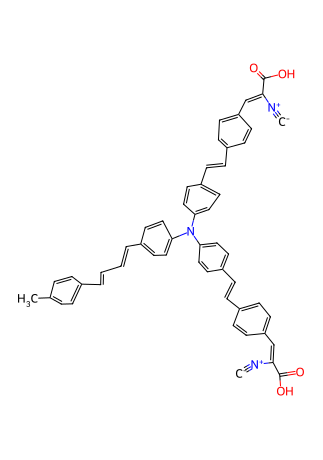 [C-]#[N+]/C(=C\c1ccc(/C=C/c2ccc(N(c3ccc(/C=C/C=C/c4ccc(C)cc4)cc3)c3ccc(/C=C/c4ccc(/C=C(\[N+]#[C-])C(=O)O)cc4)cc3)cc2)cc1)C(=O)O